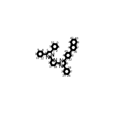 c1ccc(-c2cc(-c3ccccc3)nc(-c3cccc(-c4nc(-c5ccccc5)cc(-c5ccc(-c6ccc7ccccc7c6)cc5)n4)n3)n2)cc1